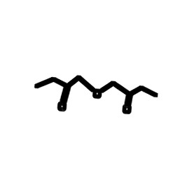 CCC(=O)COCC(=O)CC